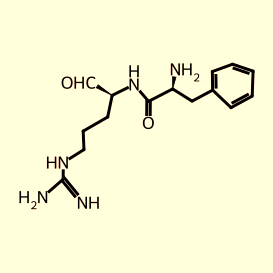 N=C(N)NCCC[C@@H](C=O)NC(=O)[C@@H](N)Cc1ccccc1